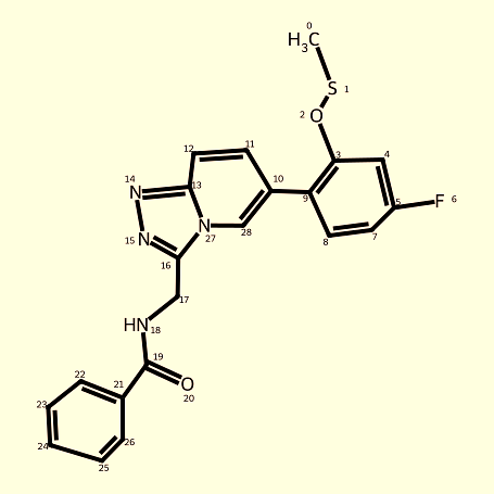 CSOc1cc(F)ccc1-c1ccc2nnc(CNC(=O)c3ccccc3)n2c1